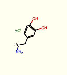 Cl.N[13CH2]Cc1ccc(O)c(O)c1